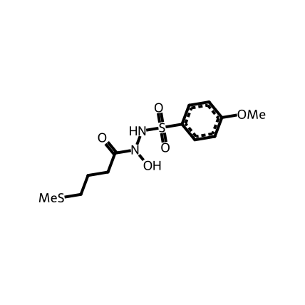 COc1ccc(S(=O)(=O)NN(O)C(=O)CCCSC)cc1